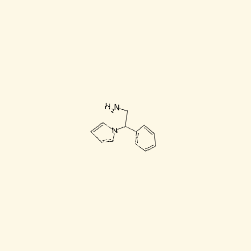 NCC(c1ccccc1)n1cccc1